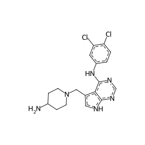 NC1CCN(Cc2c[nH]c3ncnc(Nc4ccc(Cl)c(Cl)c4)c23)CC1